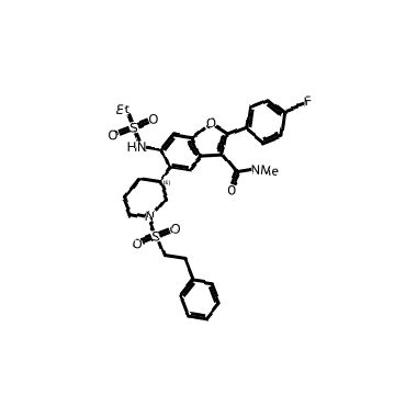 CCS(=O)(=O)Nc1cc2oc(-c3ccc(F)cc3)c(C(=O)NC)c2cc1[C@@H]1CCCN(S(=O)(=O)CCc2ccccc2)C1